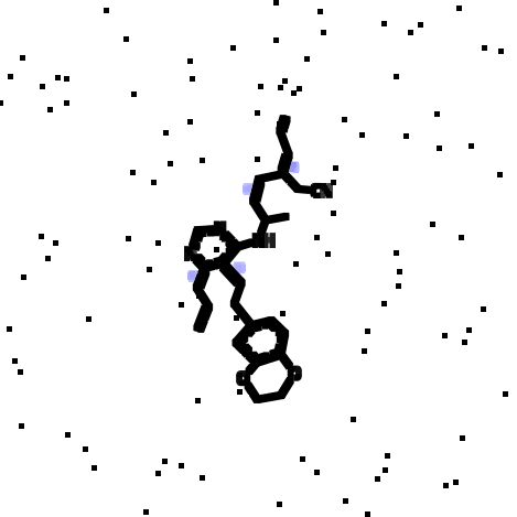 C=C/C=C(\C=C/C(C)Nc1ncnc(=C/C=C)/c1=C\Cc1ccc2c(c1)OCCO2)CC#N